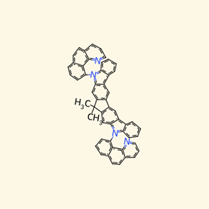 CC1(C)c2cc3c(cc2-c2cc4c5ccccc5n(-c5cccc6ccc7cccnc7c56)c4cc21)c1ccccc1n3-c1cccc2ccc3cccnc3c12